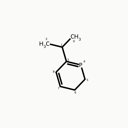 CC(C)C1=PCCC=C1